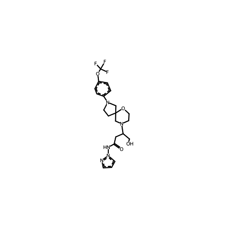 O=C(CC(CO)N1CCOC2(CCN(c3ccc(OC(F)(F)F)cc3)C2)C1)Nn1cccn1